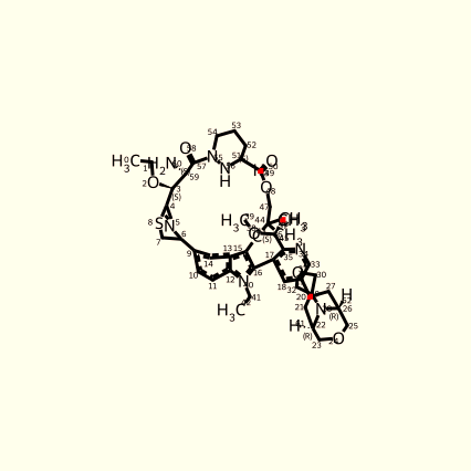 CCO[C@@H]1C2=NC(CS2)c2ccc3c(c2)c(c(-c2cc(C4C[C@@H]5COC[C@@H](C4)N5C4COC4)cnc2[C@H](C)OC)n3CC)CC(C)(C)COC(=O)[C@@H]2CCCN(N2)C(=O)[C@H]1N